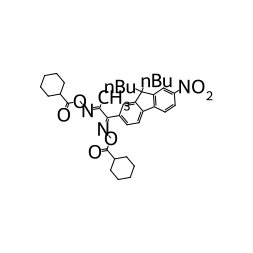 CCCCC1(CCCC)c2cc(C(=N\OC(=O)C3CCCCC3)/C(C)=N/OC(=O)C3CCCCC3)ccc2-c2ccc([N+](=O)[O-])cc21